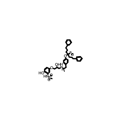 C[C@H](Cc1ccc(OC(CCCc2ccccc2)(CCCc2ccccc2)P=O)cc1)NC[C@H](O)COc1ccc(O)c(NS(C)(=O)=O)c1